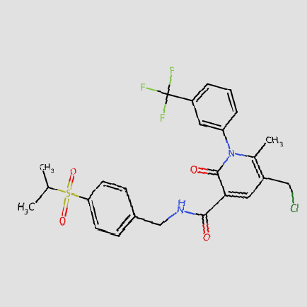 Cc1c(CCl)cc(C(=O)NCc2ccc(S(=O)(=O)C(C)C)cc2)c(=O)n1-c1cccc(C(F)(F)F)c1